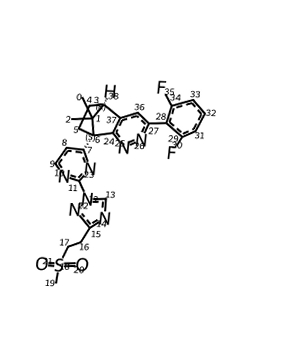 CC1(C)[C@H]2CC[C@]1(c1ccnc(-n3cnc(CCS(C)(=O)=O)n3)n1)c1nnc(-c3c(F)cccc3F)cc12